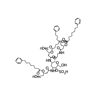 CCCCCCCCCCC[C@H](CC(=O)NCCO[C@@H]1OC(CO)[C@@H](OS(=O)(=O)O)C(NC(=O)C[C@@H](CCCCCCCCCCC)OC(=O)CCCCCCCc2ccccc2)CC1NC(=O)C[C@@H](CCCCCCCCCCC)OC(=O)CCCCCCCc1ccccc1)OC(=O)CCCCCCCc1ccccc1